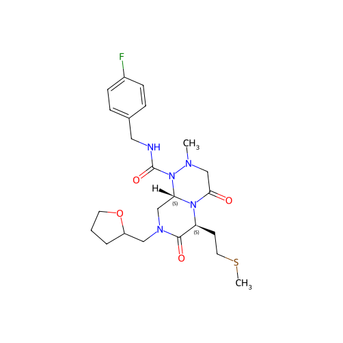 CSCC[C@H]1C(=O)N(CC2CCCO2)C[C@H]2N1C(=O)CN(C)N2C(=O)NCc1ccc(F)cc1